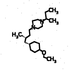 CCO[C@H]1CC[C@H](C[C@H](C)CCN2CCN(C(C)CC)CC2)CC1